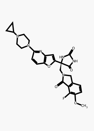 COc1ccc2c(c1F)C(=O)N(C[C@@]1(c3cc4nc(N5CCN(C6CC6)CC5)ccc4o3)NC(=O)NC1=O)C2